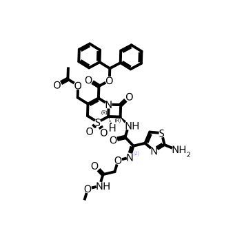 CONC(=O)CO/N=C(\C(=O)N[C@@H]1C(=O)N2C(C(=O)OC(c3ccccc3)c3ccccc3)=C(COC(C)=O)CS(=O)(=O)[C@H]12)c1csc(N)n1